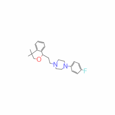 CC1(C)COC(CCN2CCN(c3ccc(F)cc3)CC2)c2ccccc21